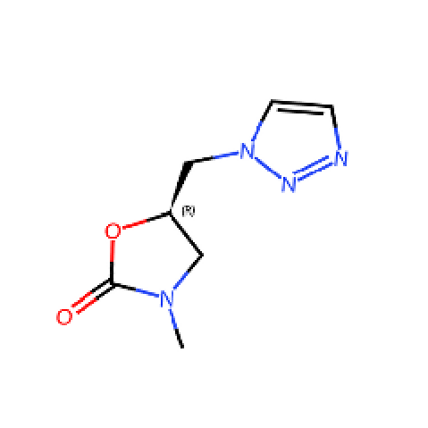 CN1C[C@H](Cn2ccnn2)OC1=O